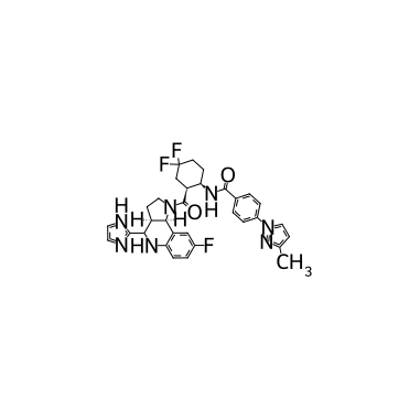 Cc1ccn(-c2ccc(C(=O)N[C@@H]3CCC(F)(F)C[C@@H]3C(=O)N3CC[C@@H]4C(c5ncc[nH]5)Nc5ccc(F)cc5[C@@H]43)cc2)n1